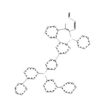 C=C/C=C\C1=C(C)c2ccccc2-c2cc(-c3ccc(N(c4cccc(-c5ccccc5)c4)c4cccc(-c5ccccc5)c4)cc3)ccc2N1c1ccccc1